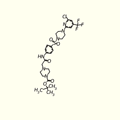 CC(C)(C)OC(=O)N1CCN(CC(=O)Nc2ccc(S(=O)(=O)N3CCN(c4cc(C(F)(F)F)cc(Cl)n4)CC3)cc2)CC1